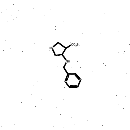 CCOC(=O)C1CNCC1NCc1ccccc1